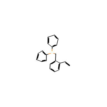 C=Cc1ccccc1CP(c1ccccc1)c1ccccc1